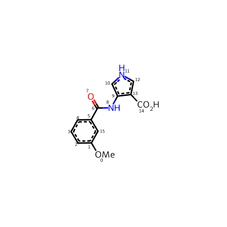 COc1cccc(C(=O)Nc2c[nH]cc2C(=O)O)c1